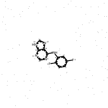 Fc1ccc(F)c(Nc2ncnc3[nH]cnc23)c1